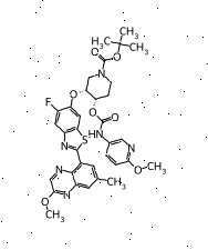 COc1ccc(NC(=O)O[C@H]2CCN(C(=O)OC(C)(C)C)C[C@H]2Oc2cc3sc(-c4cc(C)cc5nc(OC)cnc45)nc3cc2F)cn1